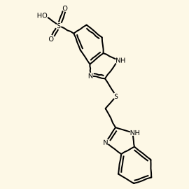 O=S(=O)(O)c1ccc2[nH]c(SCc3nc4ccccc4[nH]3)nc2c1